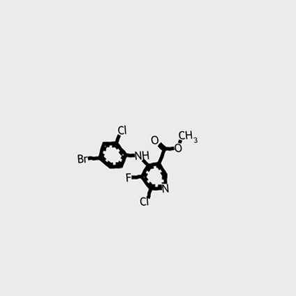 COC(=O)c1cnc(Cl)c(F)c1Nc1ccc(Br)cc1Cl